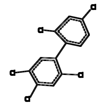 Clc1ccc(-c2cc(Cl)c(Cl)cc2Cl)c(Cl)c1